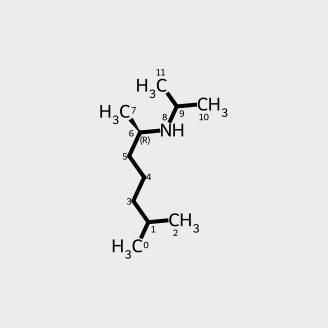 CC(C)CCC[C@@H](C)NC(C)C